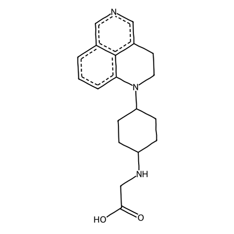 O=C(O)CNC1CCC(N2CCc3cncc4cccc2c34)CC1